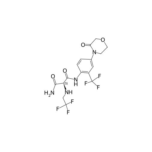 NC(=O)[C@H](NCC(F)(F)F)C(=O)Nc1ccc(N2CCOCC2=O)cc1C(F)(F)F